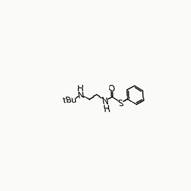 CC(C)(C)NCCNC(=O)Sc1ccccc1